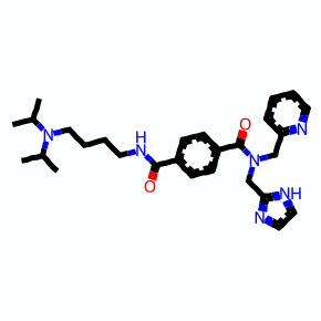 CC(C)N(CCCCNC(=O)c1ccc(C(=O)N(Cc2ccccn2)Cc2ncc[nH]2)cc1)C(C)C